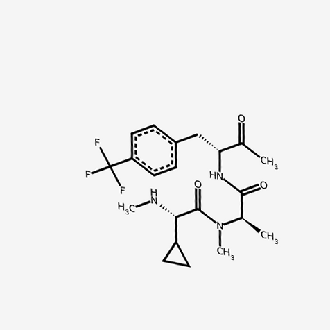 CN[C@H](C(=O)N(C)[C@H](C)C(=O)N[C@H](Cc1ccc(C(F)(F)F)cc1)C(C)=O)C1CC1